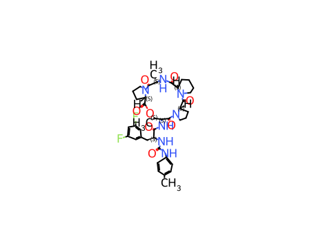 Cc1ccc(NC(=O)N[C@@H](Cc2cc(F)cc(F)c2)C(=O)N[C@@H]2C(=O)N3CCC[C@H]3C(=O)N3CCCC[C@H]3C(=O)N[C@@H](C)C(=O)N3CCC[C@H]3C(=O)O[C@H]2C)cc1